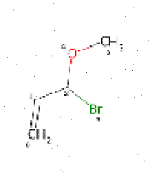 C=CC(Br)OC